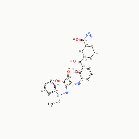 CC[C@@H](Nc1c(Nc2cccc(C(=O)N3CCCC(C(N)=O)C3)c2O)c(=O)c1=O)c1ccccc1